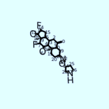 C=C1CC2C(C(=O)C(F)[C@]3(C)C(=O)C(F)CC23)[C@@]2(C)CCC(=NOC3CCNC3)CC12